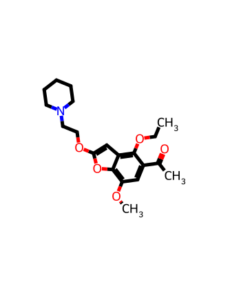 CCOc1c(C(C)=O)cc(OC)c2oc(OCCN3CCCCC3)cc12